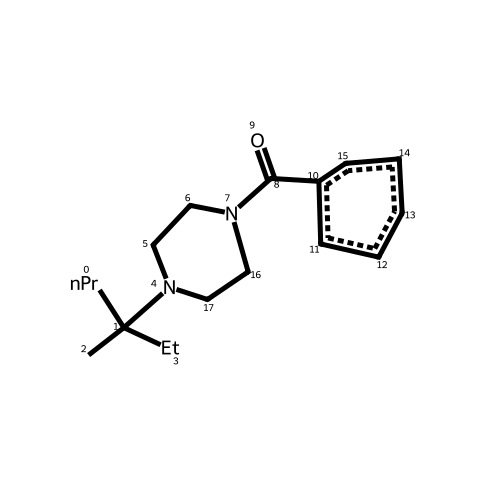 CCCC(C)(CC)N1CCN(C(=O)c2ccccc2)CC1